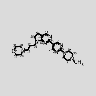 CN1CCN(c2ncc(-c3ncc4c(n3)N(CCCN3CCOCC3)CC4)cn2)CC1